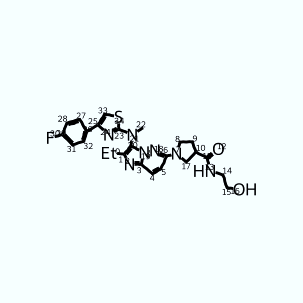 CCc1nc2ccc(N3CCC(C(=O)NCCO)C3)nn2c1N(C)c1nc(-c2ccc(F)cc2)cs1